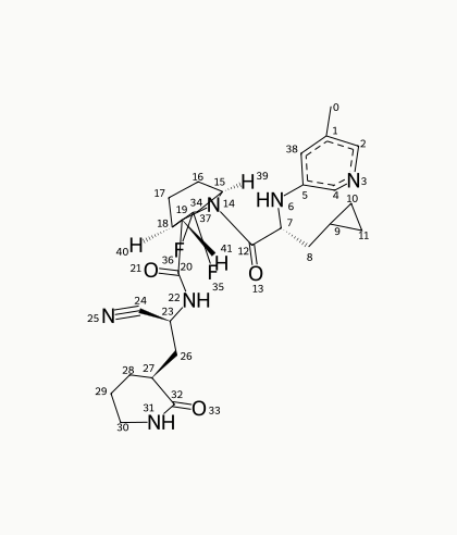 Cc1cncc(N[C@H](CC2CC2)C(=O)N2[C@@H]3CC[C@H]([C@H]2C(=O)N[C@H](C#N)C[C@@H]2CCCNC2=O)C(F)(F)C3)c1